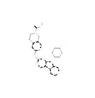 CC(C)(C)OC(=O)N1CCc2cc(Nc3ncc4c5ccncc5n([C@H]5CC[C@H](C)CC5)c4n3)ncc2C1